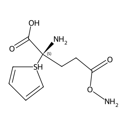 NOC(=O)CC[C@@](N)(C(=O)O)[SH]1C=CC=C1